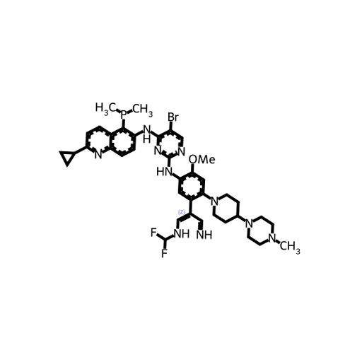 COc1cc(N2CCC(N3CCN(C)CC3)CC2)c(/C(C=N)=C/NC(F)F)cc1Nc1ncc(Br)c(Nc2ccc3nc(C4CC4)ccc3c2P(C)C)n1